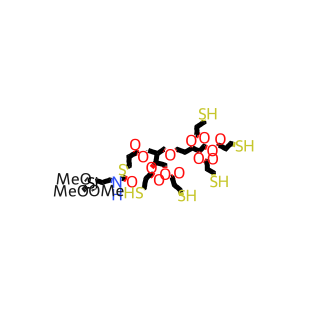 CO[Si](CCCNC(=O)SCCC(=O)OCC(COCCC(OC(=O)CCS)C(COC(=O)CCS)OC(=O)CCS)C(COC(=O)CCS)OC(=O)CCS)(OC)OC